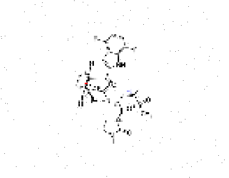 CS(=O)(=O)/C(F)=C\[C@@H](C[C@@H]1CCNC1=O)NC(=O)[C@@H]1[C@@H]2CC[C@@H](CC2(F)F)N1C(=O)c1cc2c(F)ccc(F)c2[nH]1